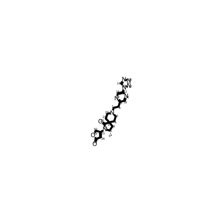 C[C@H]1CC2(CCN(CCc3cnc(-n4cnnn4)cn3)CC2)C(=O)N1C1=CC(=O)OC1